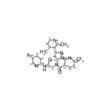 Cc1ccnc(C)c1-c1cc2n(CC(=O)Nc3ccc(F)cn3)c(=O)c3ccc(C(F)(F)F)nc3n2n1